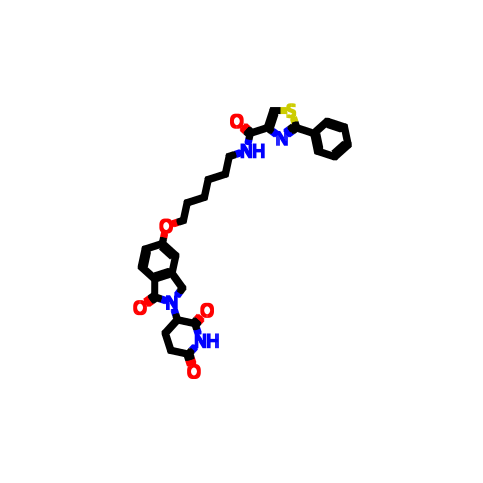 O=C1CCC(N2Cc3cc(OCCCCCCNC(=O)c4csc(-c5ccccc5)n4)ccc3C2=O)C(=O)N1